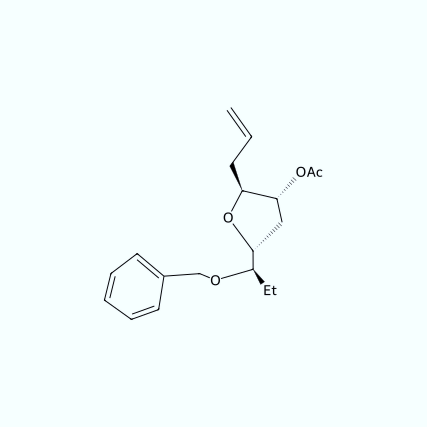 C=CC[C@@H]1O[C@@H]([C@@H](CC)OCc2ccccc2)C[C@H]1OC(C)=O